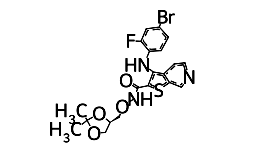 CC1(C)OC[C@H](CONC(=O)c2sc3cnccc3c2Nc2ccc(Br)cc2F)O1